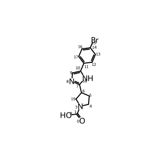 O=C(O)N1CCC(c2ncc(-c3ccc(Br)cc3)[nH]2)C1